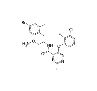 Cc1cc(C(=O)NC(CON)Cc2ccc(Br)cc2C)c(Oc2cccc(Cl)c2F)nn1